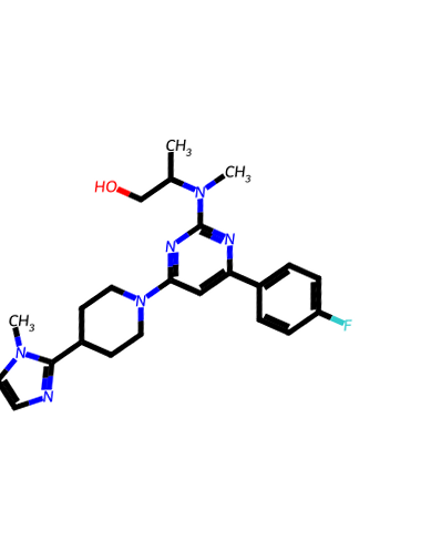 CC(CO)N(C)c1nc(-c2ccc(F)cc2)cc(N2CCC(c3nccn3C)CC2)n1